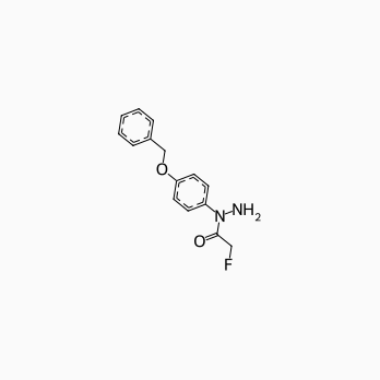 NN(C(=O)CF)c1ccc(OCc2ccccc2)cc1